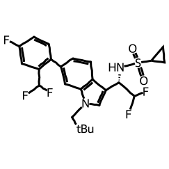 CC(C)(C)Cn1cc([C@H](NS(=O)(=O)C2CC2)C(F)F)c2ccc(-c3ccc(F)cc3C(F)F)cc21